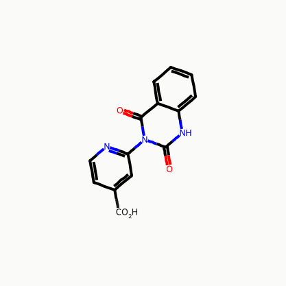 O=C(O)c1ccnc(-n2c(=O)[nH]c3ccccc3c2=O)c1